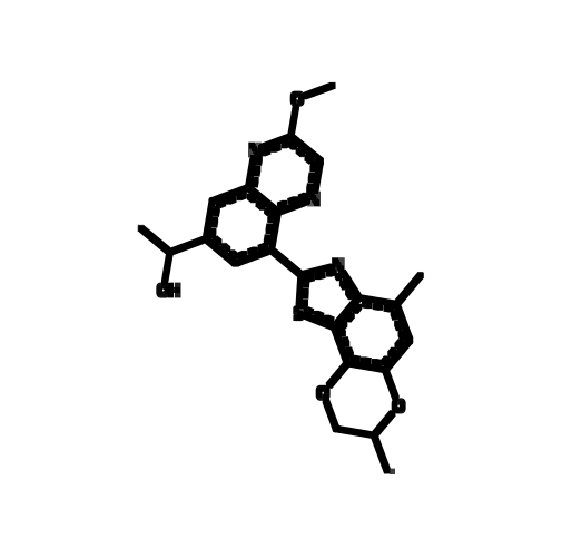 [CH2]C1COc2c(cc(C)c3nc(-c4cc(C(C)O)cc5nc(OC)cnc45)sc23)O1